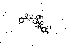 Cl.O=C(SC(=O)N1CCN(C(=O)Nc2ccc(F)c(Cl)c2)CC1)c1ccccc1